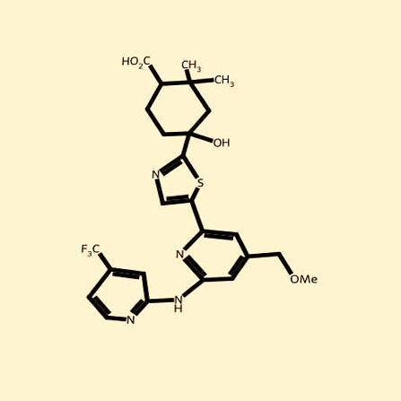 COCc1cc(Nc2cc(C(F)(F)F)ccn2)nc(-c2cnc(C3(O)CCC(C(=O)O)C(C)(C)C3)s2)c1